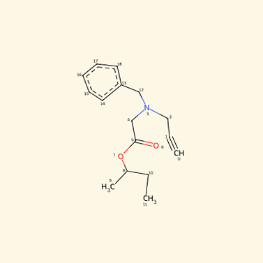 C#CCN(CC(=O)OC(C)CC)Cc1ccccc1